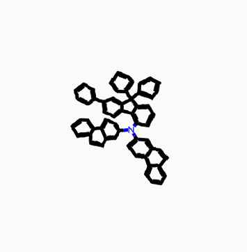 c1ccc(-c2ccc3c(c2)C(c2ccccc2)(c2ccccc2)c2cccc(N(c4ccc5c(ccc6ccccc65)c4)c4ccc5c(ccc6ccccc65)c4)c2-3)cc1